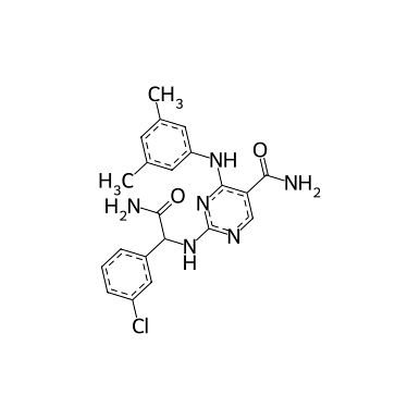 Cc1cc(C)cc(Nc2nc(NC(C(N)=O)c3cccc(Cl)c3)ncc2C(N)=O)c1